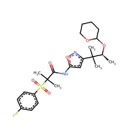 C[C@H](OC1CCCCO1)C(C)(C)c1cc(NC(=O)C(C)(C)S(=O)(=O)c2ccc(F)cc2)on1